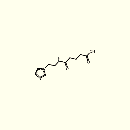 O=C(O)CCCC(=O)NCCn1ccnc1